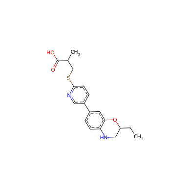 CCC1CNc2ccc(-c3ccc(SCC(C)C(=O)O)nc3)cc2O1